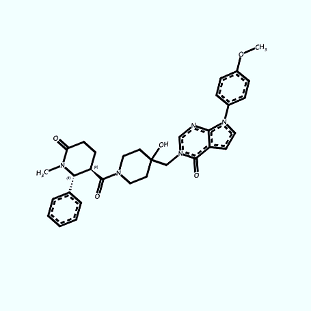 COc1ccc(-n2ccc3c(=O)n(CC4(O)CCN(C(=O)[C@@H]5CCC(=O)N(C)[C@H]5c5ccccc5)CC4)cnc32)cc1